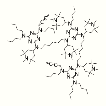 C=C=C=CN(CCCC)c1nc(N(CCCC)CCCC)nc(N(CCCCCCN(c2nc(N(CCCC)C3CC(C)(C)N(C)C(C)(C)C3)nc(N(CCCCCCN(c3nc(N(C=C=C=C)CCCC)nc(N(CCCC)CCCC)n3)C3CC(C)(C)N(C)C(C)(C)C3)C3CC(C)(C)N(C)C(C)(C)C3)n2)C2CC(C)(C)N(C)C(C)(C)C2)C2CC(C)(C)N(C)C(C)(C)C2)n1